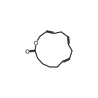 O=C1CCCC/C=C/C/C=C/C/C=C/CO1